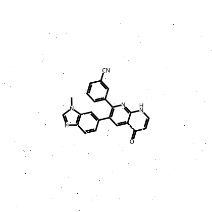 Cn1cnc2ccc(-c3cc4c(=O)cc[nH]c4nc3-c3cccc(C#N)c3)cc21